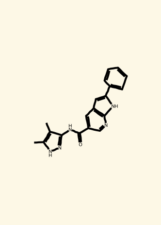 Cc1[nH]nc(NC(=O)c2cnc3[nH]c(-c4ccccc4)cc3c2)c1C